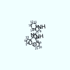 c1coc(-c2nc(-c3c[nH]c4ccccc34)[nH]c2-c2ccco2)c1